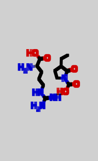 CCC1CCN(C(=O)O)C1=O.N=C(N)NCCC[C@H](N)C(=O)O